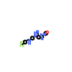 N#Cc1c(Nc2ccc(NCc3ccc(C(F)(F)F)cc3)cc2)ccc2ncc(N3CCOCC3)nc12